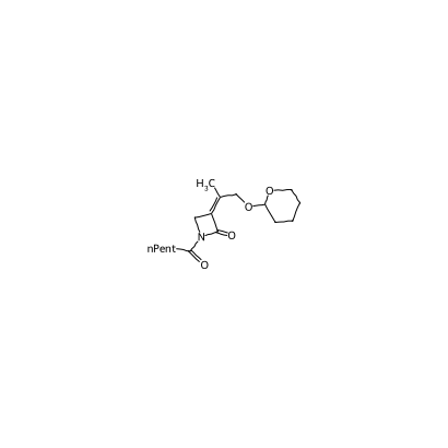 CCCCCC(=O)N1CC(=C(C)COC2CCCCO2)C1=O